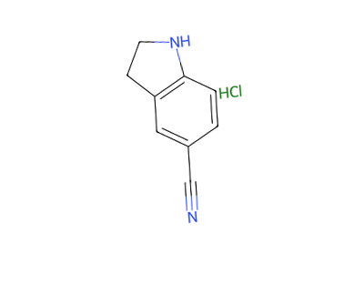 Cl.N#Cc1ccc2c(c1)CCN2